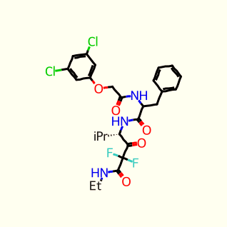 CCNC(=O)C(F)(F)C(=O)[C@@H](NC(=O)C(Cc1ccccc1)NC(=O)COc1cc(Cl)cc(Cl)c1)C(C)C